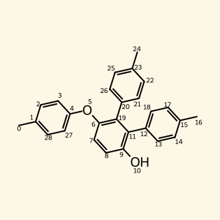 Cc1ccc(Oc2ccc(O)c(-c3ccc(C)cc3)c2-c2ccc(C)cc2)cc1